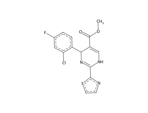 COC(=O)C1=CNC(c2nccs2)=NC1c1ccc(F)cc1Cl